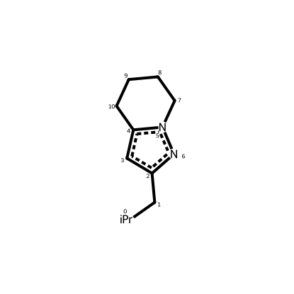 CC(C)Cc1cc2n(n1)CCCC2